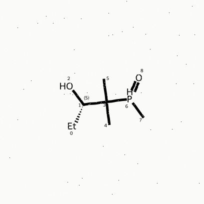 CC[C@H](O)C(C)(C)[PH](C)=O